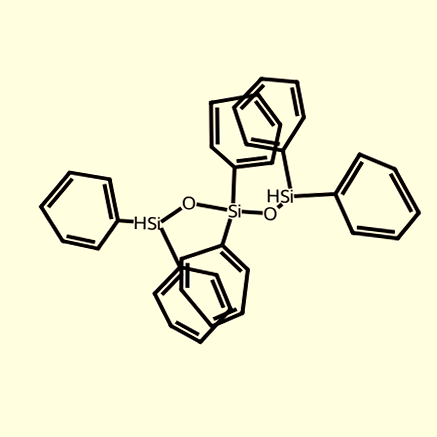 c1ccc([SiH](O[Si](O[SiH](c2ccccc2)c2ccccc2)(c2ccccc2)c2ccccc2)c2ccccc2)cc1